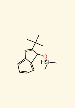 C[SiH](C)OC1C(C(C)(C)C)=Cc2ccccc21